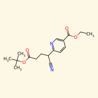 CCOC(=O)c1ccc(C(C#N)CCC(=O)OC(C)(C)C)nc1